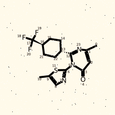 Cc1cc(=O)n(-c2ncc(C)s2)c([C@H]2CC[C@H](C(F)(F)F)CC2)n1